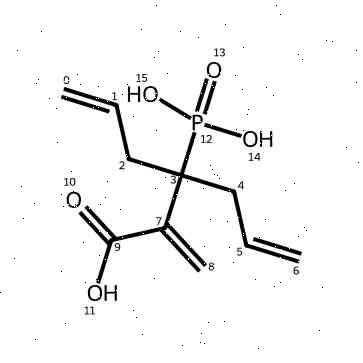 C=CCC(CC=C)(C(=C)C(=O)O)P(=O)(O)O